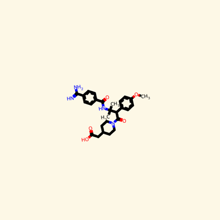 COc1ccc(C(C(=O)N2CCC(CC(=O)O)CC2)C(C)(C)NC(=O)c2ccc(C(=N)N)cc2)cc1